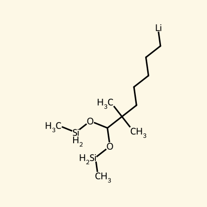 [Li][CH2]CCCCC(C)(C)C(O[SiH2]C)O[SiH2]C